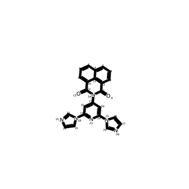 O=C1c2cccc3cccc(c23)C(=O)N1c1cc(-n2ccnc2)nc(-n2ccnc2)c1